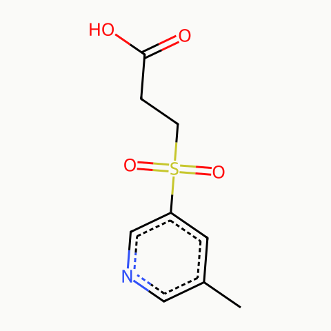 Cc1cncc(S(=O)(=O)CCC(=O)O)c1